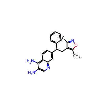 Cc1noc(C)c1CC(c1ccccc1)c1ccc2c(N)c(N)cnc2c1